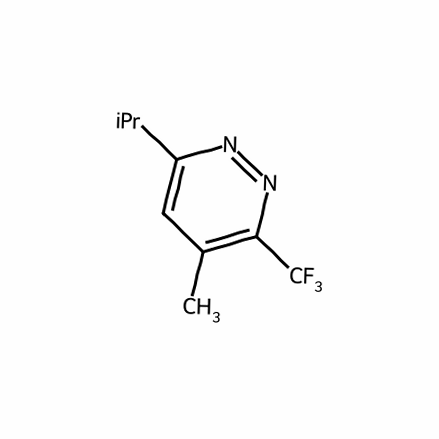 Cc1cc(C(C)C)nnc1C(F)(F)F